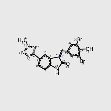 Cn1nnc(-c2ccc3c(c2)/C(=C/c2cc(Br)c(O)c(Br)c2)C(=O)N3)n1